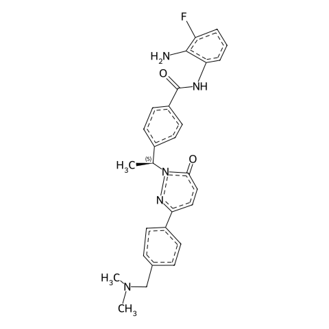 C[C@@H](c1ccc(C(=O)Nc2cccc(F)c2N)cc1)n1nc(-c2ccc(CN(C)C)cc2)ccc1=O